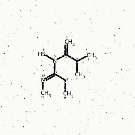 C=C(C(C)C)N(S)/C(CC)=N/C